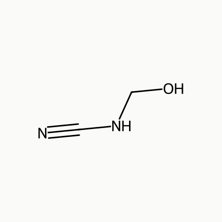 N#CNCO